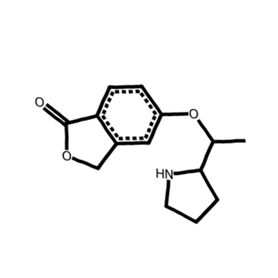 CC(Oc1ccc2c(c1)COC2=O)C1CCCN1